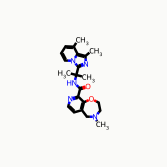 Cc1cccn2c(C(C)(C)NC(=O)c3nccc4c3OCCN(C)C4)nc(C)c12